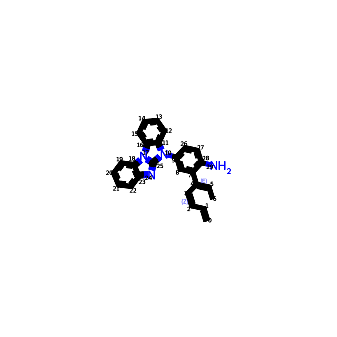 C=C/C=C\C(=C/C)c1cc(-n2c3ccccc3n3c4ccccc4nc23)ccc1N